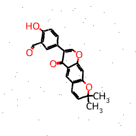 CC1(C)C=Cc2cc3c(=O)c(-c4ccc(O)c(C=O)c4)coc3cc2O1